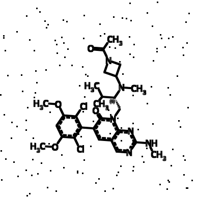 CNc1ncc2cc(-c3c(Cl)c(OC)cc(OC)c3Cl)c(=O)n(C[C@H](C(C)C)N(C)C3CN(C(C)=O)C3)c2n1